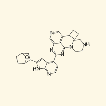 c1cc(-c2nc(N3CCNCC3)c3c(C4CCC4)cncc3n2)c2cc(C3CC4CCC3O4)[nH]c2n1